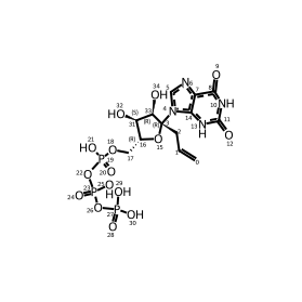 C=CC[C@@]1(n2cnc3c(=O)[nH]c(=O)[nH]c32)O[C@H](COP(=O)(O)OP(=O)(O)OP(=O)(O)O)[C@@H](O)[C@H]1O